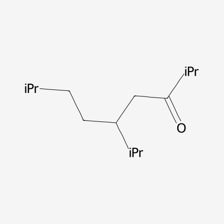 CC(C)CCC(CC(=O)C(C)C)C(C)C